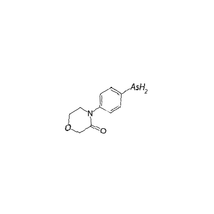 O=C1COCCN1c1ccc([AsH2])cc1